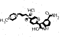 CN1CCN(C=CCS(=O)(=O)c2ccc(-c3c(O)[nH]c4ccc(C(N)=O)cc34)nc2)CC1.Cl